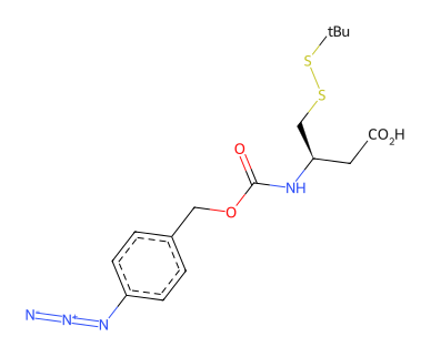 CC(C)(C)SSC[C@@H](CC(=O)O)NC(=O)OCc1ccc(N=[N+]=[N-])cc1